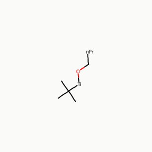 CCCC[O][Ti][C](C)(C)C